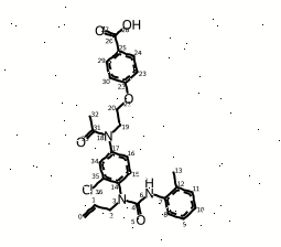 C=CCN(C(=O)Nc1ccccc1C)c1ccc(N(CCOc2ccc(C(=O)O)cc2)C(C)=O)cc1Cl